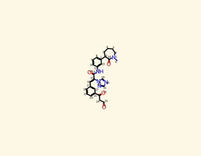 CN1CCCCC(c2cccc(NC(=O)/C(=C/c3cccc(C(=O)CC=O)c3)n3cncn3)c2)C1=O